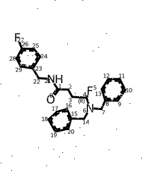 O=C(CC[C@@H](F)N(Cc1ccccc1)Cc1ccccc1)NCc1ccc(F)cc1